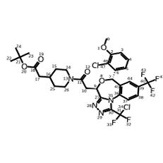 COc1cccc([C@H]2O[C@H](CC(=O)N3CCC(CC(=O)OC(C)(C)C)CC3)c3nnc(C(F)(F)Cl)n3-c3ccc(C(F)(F)F)cc32)c1Cl